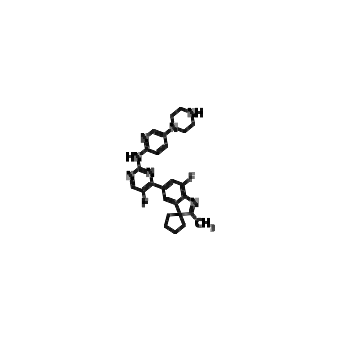 CC1=Nc2c(F)cc(-c3nc(Nc4ccc(N5CCNCC5)cn4)ncc3F)cc2C12CCCC2